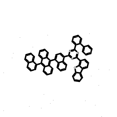 c1ccc(-c2ccccc2-c2nc(-c3ccc(-c4c5ccccc5c(-c5cccc6ccccc56)c5ccccc45)c4ccccc34)nc(-c3cccc4c3oc3ccccc34)n2)cc1